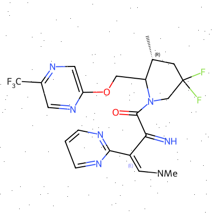 CN/C=C(\C(=N)C(=O)N1CC(F)(F)C[C@@H](C)C1COc1cnc(C(F)(F)F)cn1)c1ncccn1